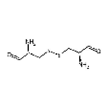 NC(C=O)CSSC[C@H](N)C=O